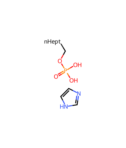 CCCCCCCCOP(=O)(O)O.c1c[nH]cn1